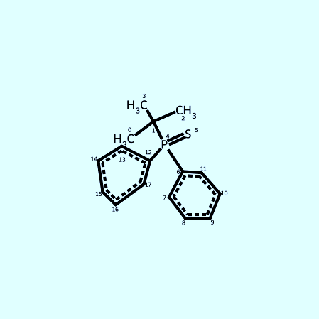 CC(C)(C)P(=S)(c1ccccc1)c1ccccc1